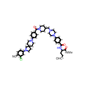 CNC(=O)C(CCC=O)NC(=O)c1ccc(N2CCN(CC3CCN(C(=O)c4ccc(N5CCC6(CC5)CCN(c5ccc(C#N)c(Cl)c5)C6)cc4)CC3)CC2)cc1